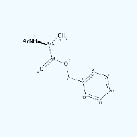 CC(=O)N[C@@H](C)C(=O)OCc1ccccc1